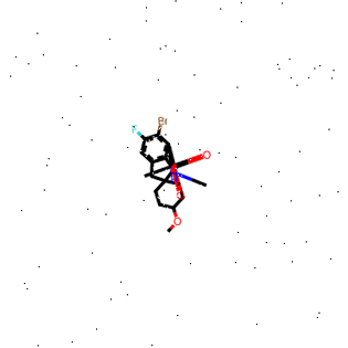 COC1CCC2(CC1)Cc1cc(F)c(Br)cc1C21NC(=O)N(C)C1=O